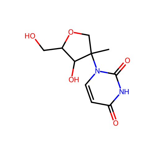 CC1(n2ccc(=O)[nH]c2=O)COC(CO)C1O